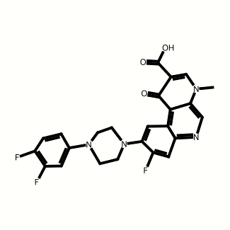 Cn1cc(C(=O)O)c(=O)c2c3cc(N4CCN(c5ccc(F)c(F)c5)CC4)c(F)cc3ncc21